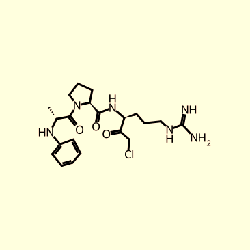 C[C@@H](Nc1ccccc1)C(=O)N1CCC[C@H]1C(=O)N[C@@H](CCCNC(=N)N)C(=O)CCl